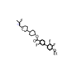 CCOc1ccc(-c2ccc(C(=O)OC3CCC(C4CCC(/C=C(/C)F)CC4)CC3)c(F)c2)c(F)c1F